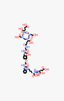 O=C(O)CCC(C(=O)O)N1CCN(CC(=O)O)CCN(C(CCC(=O)NCC(=O)N[C@@H](Cc2ccc(OCC(=O)N[C@@H](Cc3ccccc3)C(=O)NCCCC[C@H](NC(=O)N[C@@H](CCC(=O)O)C(=O)O)C(=O)O)cc2)C(=O)O)C(=O)O)CCN(CC(=O)O)CC1